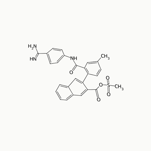 Cc1ccc(-c2cc3ccccc3cc2C(=O)OS(C)(=O)=O)c(C(=O)Nc2ccc(C(=N)N)cc2)c1